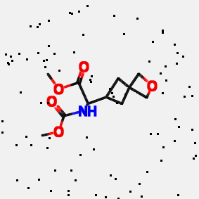 COC(=O)NC(C(=O)OC)C1CC2(COC2)C1